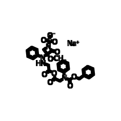 COC1(N(NCC(=O)OC(=O)CN(C(=O)OCc2ccccc2)c2ccccc2)c2ccccc2)CN(S(=O)(=O)[O-])C1=O.[Na+]